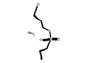 CCCS(=O)(=O)OCCCCl.N